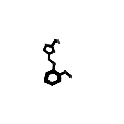 CCOc1ccccc1OCC1CN=C(N)O1